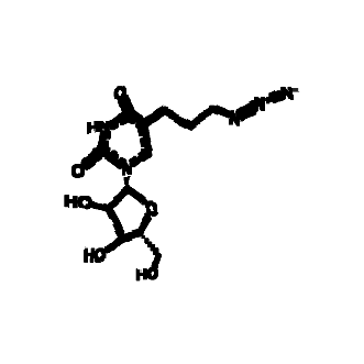 [N-]=[N+]=NCCCc1cn([C@@H]2O[C@H](CO)C(O)C2O)c(=O)[nH]c1=O